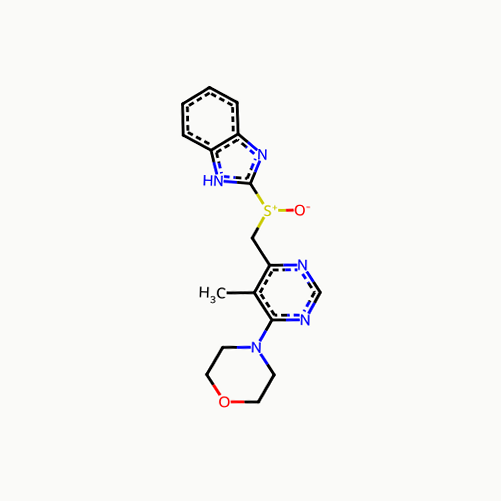 Cc1c(C[S+]([O-])c2nc3ccccc3[nH]2)ncnc1N1CCOCC1